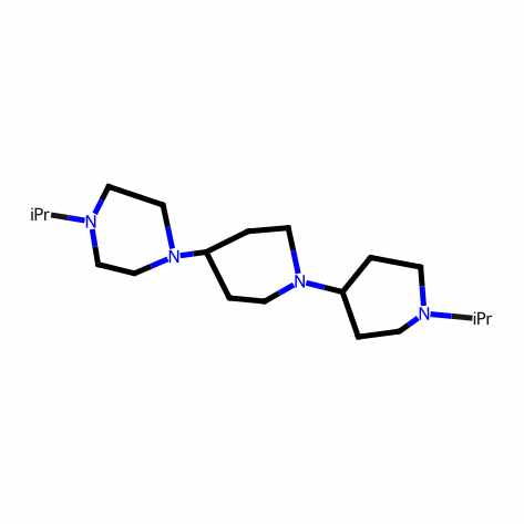 CC(C)N1CCC(N2CCC(N3CCN(C(C)C)CC3)CC2)CC1